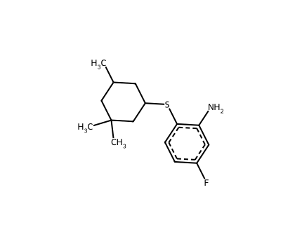 CC1CC(Sc2ccc(F)cc2N)CC(C)(C)C1